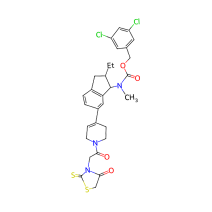 CCC1Cc2ccc(C3=CCN(C(=O)CN4C(=O)CSC4=S)CC3)cc2C1N(C)C(=O)OCc1cc(Cl)cc(Cl)c1